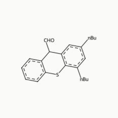 CCCCc1cc(CCCC)c2c(c1)C(C=O)c1ccccc1S2